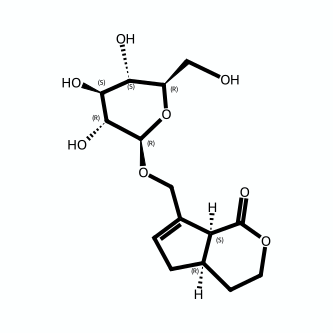 O=C1OCC[C@H]2CC=C(CO[C@@H]3O[C@H](CO)[C@@H](O)[C@H](O)[C@H]3O)[C@@H]12